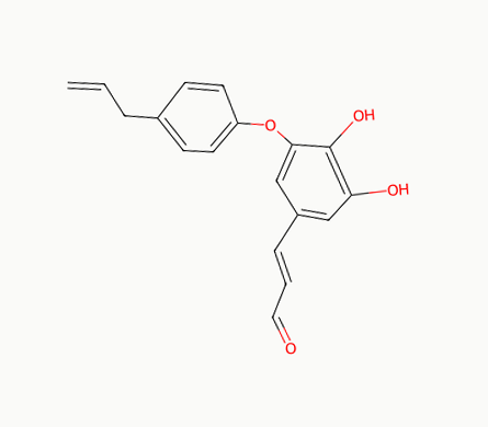 C=CCc1ccc(Oc2cc(/C=C/C=O)cc(O)c2O)cc1